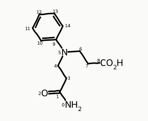 NC(=O)CCN(CCC(=O)O)c1ccccc1